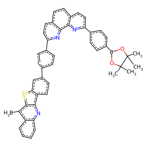 Bc1c2ccccc2nc2c1sc1cc(-c3ccc(-c4ccc5ccc6ccc(-c7ccc(B8OC(C)(C)C(C)(C)O8)cc7)nc6c5n4)cc3)ccc12